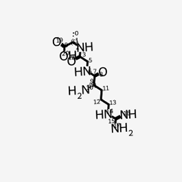 C[C@H](NC(=O)CNC(=O)[C@@H](N)CCCNC(=N)N)C(=O)O